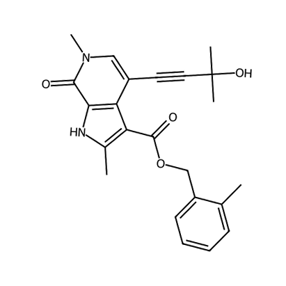 Cc1ccccc1COC(=O)c1c(C)[nH]c2c(=O)n(C)cc(C#CC(C)(C)O)c12